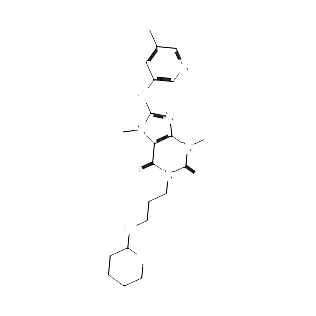 Cc1cncc(Oc2nc3c(c(=O)n(CCCOC4CCCCO4)c(=O)n3C)n2C)c1